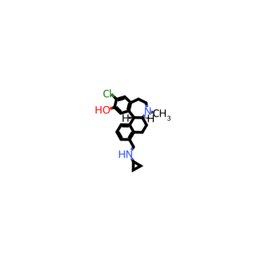 CN1CCc2cc(Cl)c(O)cc2[C@H]2c3cccc(CNC4CC4)c3CC[C@@H]21